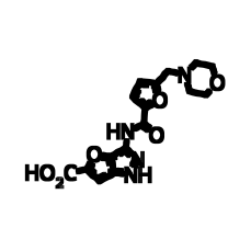 O=C(O)c1cc2[nH]nc(NC(=O)c3ccc(CN4CCOCC4)o3)c2o1